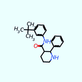 CC(C)(C)c1cccc(NC(=O)C2CCCNC2c2ccccc2)c1